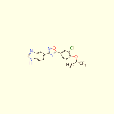 C[C@H](Oc1ccc(-c2nc(-c3ccc4[nH]cnc4c3)no2)cc1Cl)C(F)(F)F